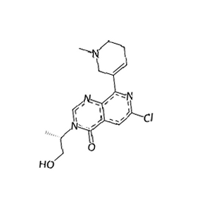 C[C@@H](CO)n1cnc2c(C3=CCCN(C)C3)nc(Cl)cc2c1=O